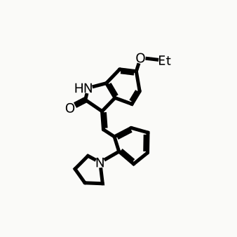 CCOc1ccc2c(c1)NC(=O)/C2=C/c1ccccc1N1CCCC1